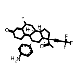 CC(=O)[C@@]1(C#CC(F)(F)F)CC[C@H]2[C@@H]3CC(F)C4=CC(=O)CCC4=C3[C@@H](c3ccc(N)cc3)C[C@@]21C